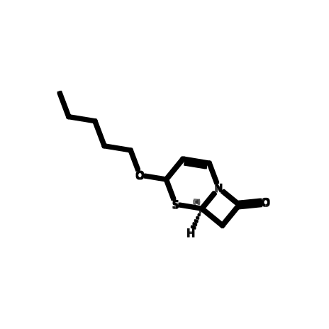 CCCCCOC1C=CN2C(=O)C[C@H]2S1